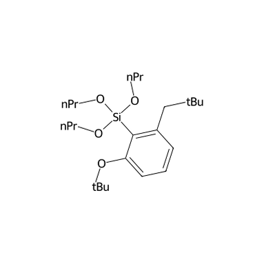 CCCO[Si](OCCC)(OCCC)c1c(CC(C)(C)C)cccc1OC(C)(C)C